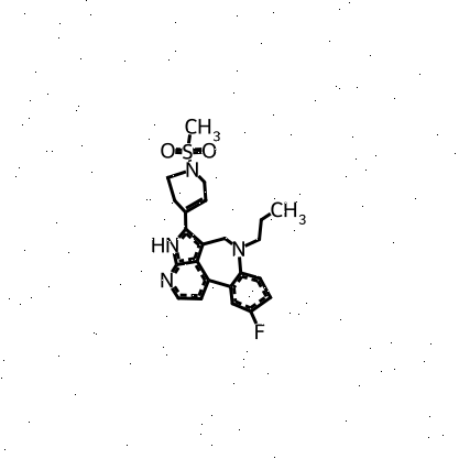 CCCN1Cc2c(C3=CCN(S(C)(=O)=O)CC3)[nH]c3nccc(c23)-c2cc(F)ccc21